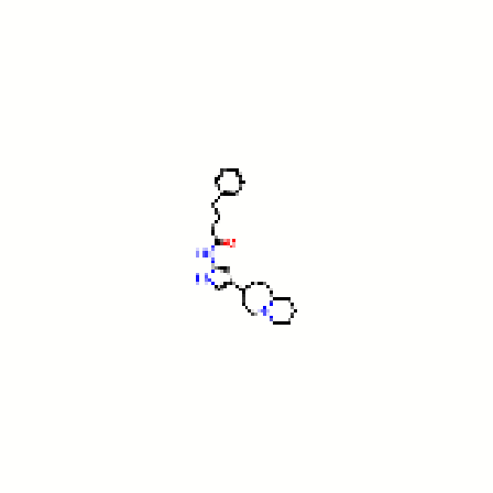 O=C(CCCc1ccccc1)Nc1cc(C2=CCN3CCCCC3CC2)c[nH]1